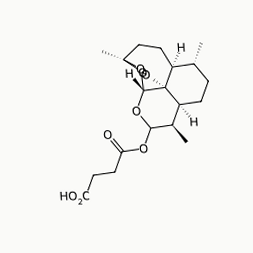 C[C@@H]1CC[C@H]2[C@@H](C)C(OC(=O)CCC(=O)O)O[C@@H]3O[C@]4(C)CC[C@@H]1[C@]32OO4